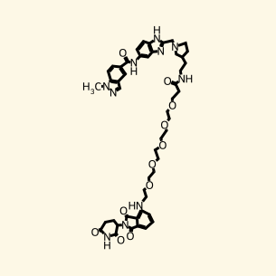 Cn1ncc2cc(C(=O)Nc3ccc4[nH]c(CN5CCC(CCNC(=O)CCOCCOCCOCCOCCOCCNc6cccc7c6C(=O)N(C6CCC(=O)NC6=O)C7=O)C5)nc4c3)ccc21